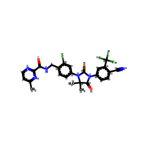 Cc1ccnc(C(=O)NCc2ccc(N3C(=S)N(c4ccc(C#N)c(C(F)(F)F)c4)C(=O)C3(C)C)cc2F)n1